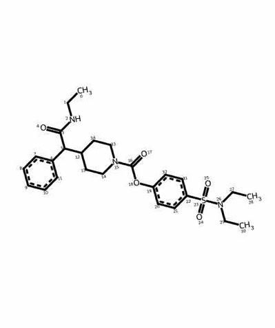 CCNC(=O)C(c1ccccc1)C1CCN(C(=O)Oc2ccc(S(=O)(=O)N(CC)CC)cc2)CC1